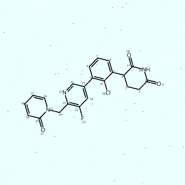 O=C1CCC(c2cccc(-c3cnc(Cn4ccccc4=O)c(F)c3)c2Cl)C(=O)N1